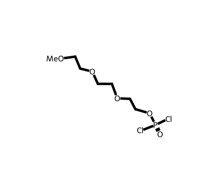 COCCOCCOCCOP(=O)(Cl)Cl